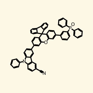 N#Cc1ccc2c(c1)c1cc(-c3ccc4c(c3)Oc3cc(-c5cccc(P(=O)(c6ccccc6)c6ccccc6)c5)ccc3C43c4ccccc4-c4ccccc43)ccc1n2-c1ccccc1